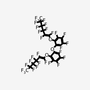 FC(Oc1c(F)c(F)c(F)c(F)c1Oc1c(F)c(F)c(F)c(F)c1OC(F)=C(F)C(F)(F)C(F)(F)C(F)(F)C(F)(F)F)=C(F)C(F)(F)C(F)(F)C(F)(F)C(F)(F)F